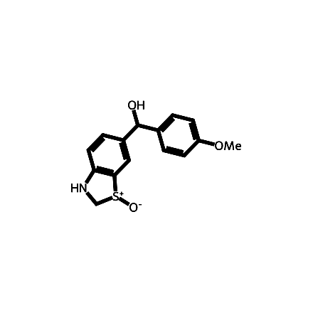 COc1ccc(C(O)c2ccc3c(c2)[S+]([O-])CN3)cc1